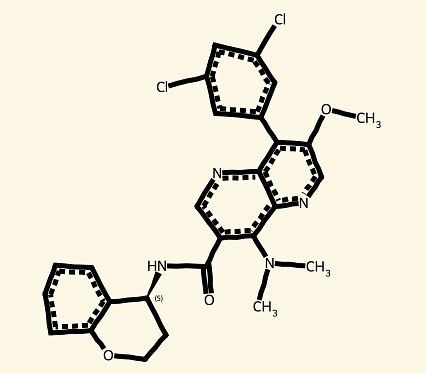 COc1cnc2c(N(C)C)c(C(=O)N[C@H]3CCOc4ccccc43)cnc2c1-c1cc(Cl)cc(Cl)c1